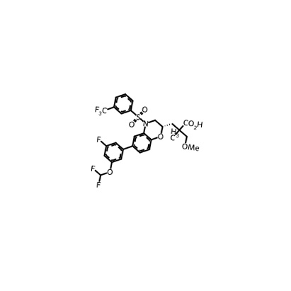 COCC(C)(C[C@H]1CN(S(=O)(=O)c2cccc(C(F)(F)F)c2)c2cc(-c3cc(F)cc(OC(F)F)c3)ccc2O1)C(=O)O